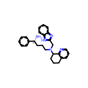 N[C@H](CCCN(Cc1nc2ccccc2[nH]1)C1CCCc2cccnc21)c1ccccc1